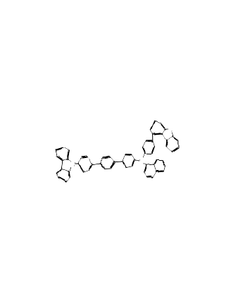 c1ccc2c(N(c3ccc(-c4ccc(-c5ccc(-n6c7ccccc7c7ccccc76)cc5)cc4)cc3)c3ccc(-c4cccc5oc6ccccc6c45)cc3)cccc2c1